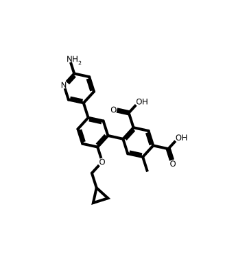 Cc1cc(-c2cc(-c3ccc(N)nc3)ccc2OCC2CC2)c(C(=O)O)cc1C(=O)O